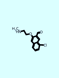 CNCCOc1cc2cccc(Cl)c2cc1C=O